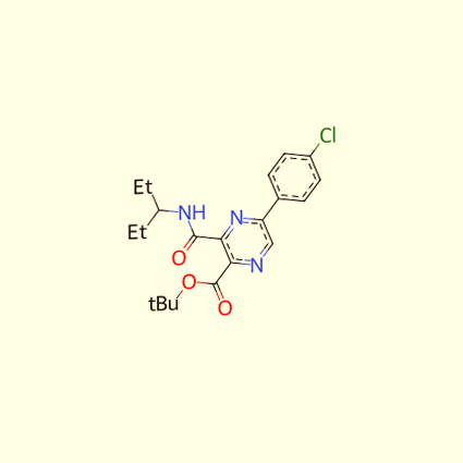 CCC(CC)NC(=O)c1nc(-c2ccc(Cl)cc2)cnc1C(=O)OC(C)(C)C